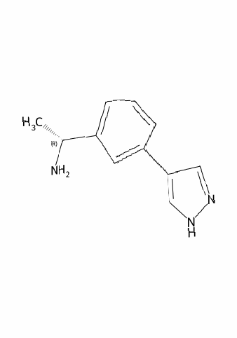 C[C@@H](N)c1cccc(-c2cn[nH]c2)c1